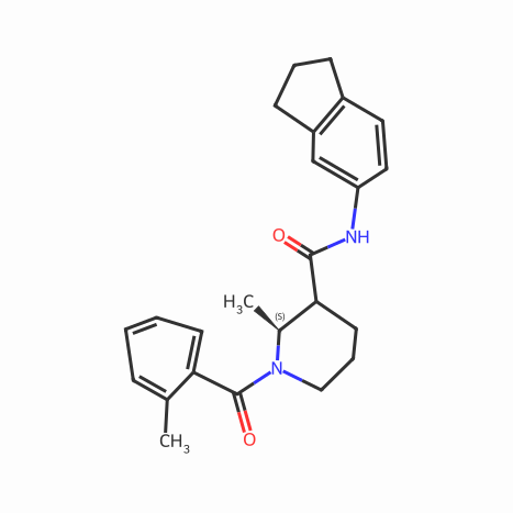 Cc1ccccc1C(=O)N1CCCC(C(=O)Nc2ccc3c(c2)CCC3)[C@@H]1C